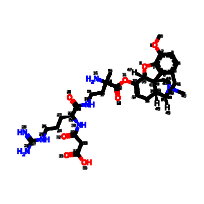 COc1ccc2c3c1O[C@H]1C(OC(=O)C(C)(N)CCNC(=O)[C@H](CCCNC(=N)N)NC(=O)CC(=O)O)=CC[C@H]4[C@@H](C2)N(C)CC[C@]314